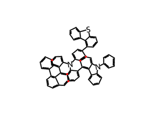 c1ccc(-c2cccc3cccc(-c4ccccc4N(c4ccc(-c5cccc6sc7ccccc7c56)cc4)c4ccccc4-c4cccc5c4c4ccccc4n5-c4ccccc4)c23)cc1